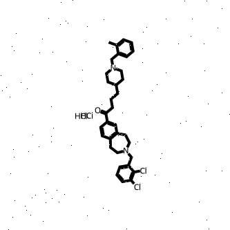 Cc1ccccc1CN1CCC(CCCC(=O)c2ccc3c(c2)CCN(Cc2cccc(Cl)c2Cl)CC3)CC1.Cl.Cl